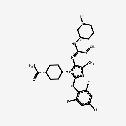 C=N/C(=N\c1c(C)nc(Nc2c(F)cc(Cl)cc2Cl)n1[C@H]1CC[C@@H](C(N)=O)CC1)N[C@@H]1CCCN(C(C)C)C1